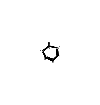 B1=CC=CSN1